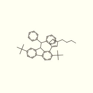 CCCCC1=CCC(c2c(C(C)(C)C)ccc3c2C(C(c2ccccc2)c2ccccc2)c2cc(C(C)(C)C)ccc2-3)=C1